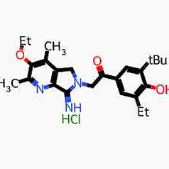 CCOc1c(C)nc2c(c1C)CN(CC(=O)c1cc(CC)c(O)c(C(C)(C)C)c1)C2=N.Cl